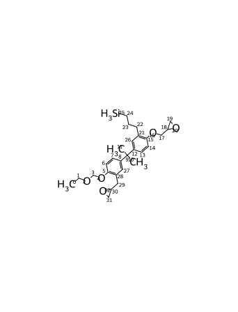 CCOCOc1ccc(C(C)(C)c2ccc(OCC3CO3)c(CCC[SiH3])c2)cc1CC1CO1